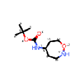 CC(C)(C)OC(=O)NC1CCNOCC1